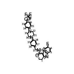 CCc1nc2ccc(F)cn2c1C(=O)NCc1ccc(N2CCN(c3ccc(OC(F)(F)F)cc3)CC2)cc1